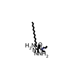 C=C/C=C(\C=C)n1c(=O)n(C(N)CCCCCCCCCCCC)c2ncnc(N)c21